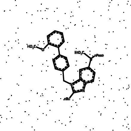 CCCCCN(C(=O)OCC)c1ccc2nc(CCCC)n(Cc3ccc(-c4ccccc4OC(=O)O)cc3)c2c1